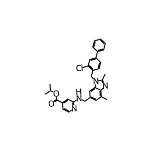 Cc1cc(CNc2cc(C(=O)OC(C)C)ccn2)cc2c1nc(C)n2Cc1ccc(-c2ccccc2)cc1Cl